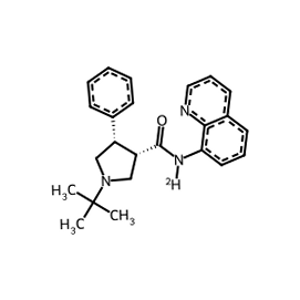 [2H]N(C(=O)[C@@H]1CN(C(C)(C)C)C[C@@H]1c1ccccc1)c1cccc2cccnc12